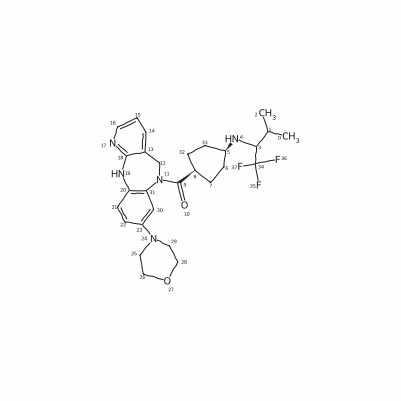 CC(C)C(N[C@H]1CC[C@@H](C(=O)N2Cc3cccnc3Nc3ccc(N4CCOCC4)cc32)CC1)C(F)(F)F